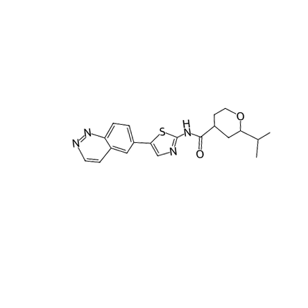 CC(C)C1CC(C(=O)Nc2ncc(-c3ccc4nnccc4c3)s2)CCO1